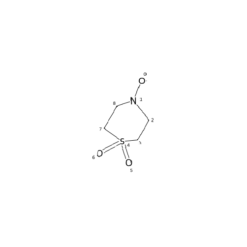 [O]N1CCS(=O)(=O)CC1